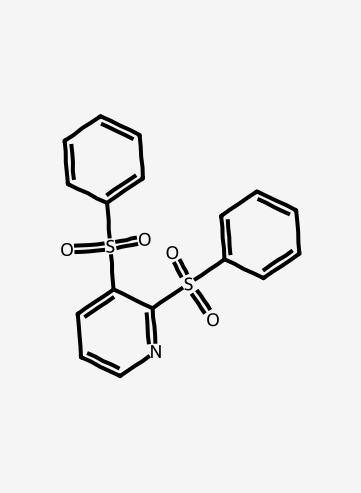 O=S(=O)(c1ccccc1)c1cccnc1S(=O)(=O)c1ccccc1